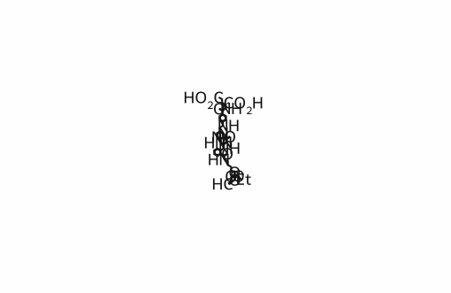 C#COP(=O)(OCC)OCCCCNC(=O)c1ccccc1Nc1nc(=O)c2nc(CNc3ccc(C(=O)N[C@@H](CCC(=O)O)C(=O)O)cc3)cnc2[nH]1